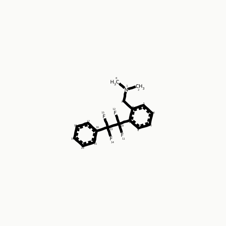 CN(C)Cc1ccccc1C(F)(F)C(F)(F)c1ccccc1